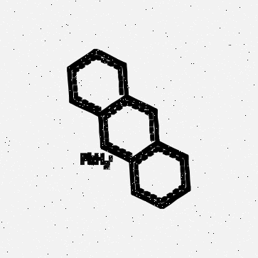 [PbH2].c1ccc2cc3ccccc3cc2c1